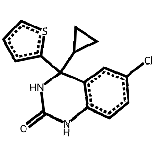 O=C1Nc2ccc(Cl)cc2C(c2cccs2)(C2CC2)N1